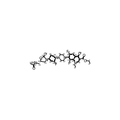 CCOC(=O)c1cn(CC)c2c(F)c(N3CCN(c4ccc(N5C[C@H](CNC(C)=O)OC5=O)cc4F)CC3)c(F)cc2c1=O